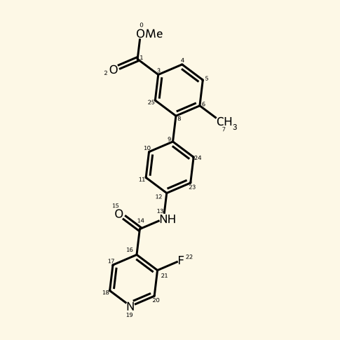 COC(=O)c1ccc(C)c(-c2ccc(NC(=O)c3ccncc3F)cc2)c1